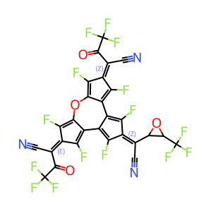 N#C/C(C(=O)C(F)(F)F)=c1/c(F)c2oc3c(F)/c(=C(\C#N)C(=O)C(F)(F)F)c(F)c3c3c(F)/c(=C(\C#N)C4OC4C(F)(F)F)c(F)c3c2c1F